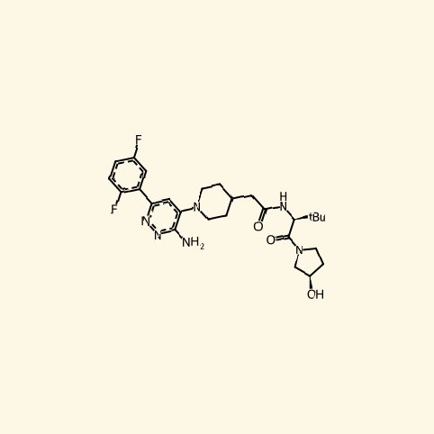 CC(C)(C)[C@H](NC(=O)CC1CCN(c2cc(-c3cc(F)ccc3F)nnc2N)CC1)C(=O)N1CC[C@@H](O)C1